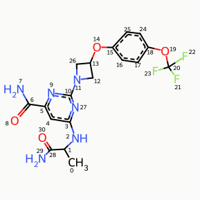 CC(Nc1cc(C(N)=O)nc(N2CC(Oc3ccc(OC(F)(F)F)cc3)C2)n1)C(N)=O